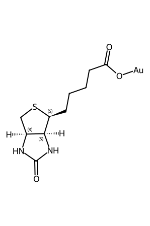 O=C1N[C@H]2[C@H](CS[C@H]2CCCCC(=O)[O][Au])N1